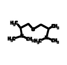 CC(COCC(C)N(C)C)N(C)C